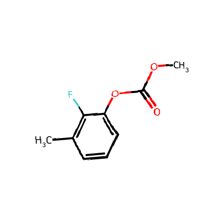 COC(=O)Oc1cccc(C)c1F